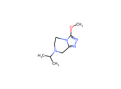 COc1nnc2n1CCN(C(C)C)C2